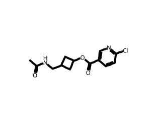 CC(=O)NCC1CC(OC(=O)c2ccc(Cl)nc2)C1